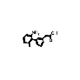 Cc1cccc(N)c1-c1cccc(CC(=O)O)c1